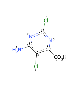 Nc1nc(Cl)nc(C(=O)O)c1Cl